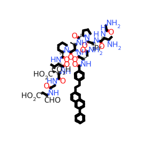 CC(C)[C@H](NC(=O)[C@H](NC(=O)CN)C(C)N)C(=O)N1CCC[C@H]1C(=O)N[C@H](C)C(NC(=O)[C@H](CC(N)=O)NC(=O)c1ccc(CCc2ccc3cc(-c4ccccc4)ccc3c2)cc1)C(=O)N1CCCC[C@@H]1C(=O)N[C@H](C(=O)N[C@@H](CC(=O)O)C(=O)NCC(=O)NC(C=O)CC(=O)O)C(C)C(=O)O